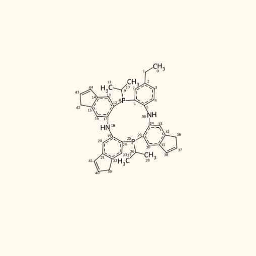 CCc1ccc2c(c1)P(C(C)C)c1cc3c(cc1Nc1cc4c(cc1P(C(C)C)c1cc5c(cc1N2)CC=C5)CC=C4)CC=C3